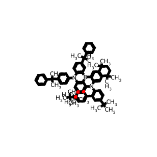 CC(C)(C)c1ccc(-c2cc(C(C)(C)C)ccc2N2c3cc4c(cc3B3c5cc(C(C)(C)c6ccccc6)ccc5N(c5ccc(C(C)(C)c6ccccc6)cc5)c5cc(C(C)(C)C)cc2c53)C(C)(C)CCC4(C)C)cc1